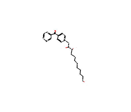 O=C(c1ccccc1)c1ccc(CC(O)C(O)CCCCCCCCCO)cc1